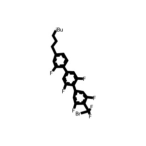 CCC(C)CCCc1ccc(-c2cc(F)c(-c3cc(F)c(C(F)(F)Br)c(F)c3)c(F)c2)c(F)c1